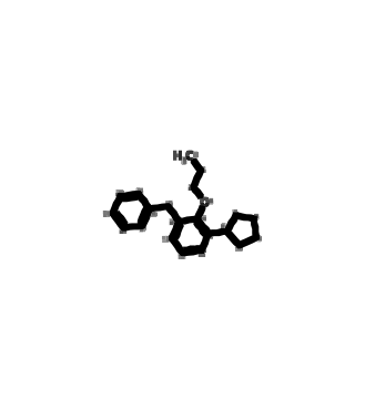 CCCOc1c(C2CCCC2)[c]ccc1Cc1ccccc1